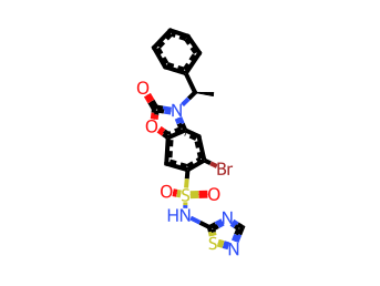 C[C@H](c1ccccc1)n1c(=O)oc2cc(S(=O)(=O)Nc3ncns3)c(Br)cc21